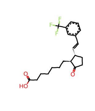 O=C(O)CCCCCC[C@@H]1C(=O)CC[C@H]1C=Cc1cccc(C(F)(F)F)c1